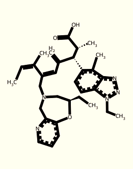 C=C(/C=C(CN1Cc2ncccc2O[C@H](CC)C1)\C(C)=C/C)[C@@H](c1ccc2c(nnn2CC)c1C)[C@@H](C)C(=O)O